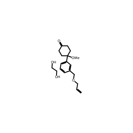 C=CCOCc1cccc(C2(OC)CCC(=O)CC2)c1.OCCO